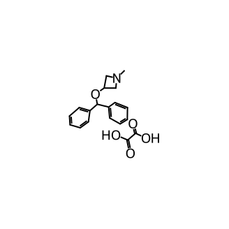 CN1CC(OC(c2ccccc2)c2ccccc2)C1.O=C(O)C(=O)O